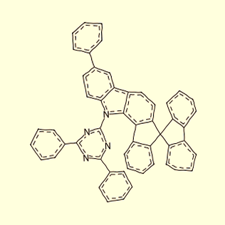 c1ccc(-c2ccc3c(c2)c2ccc4c(c2n3-c2nc(-c3ccccc3)nc(-c3ccccc3)n2)-c2ccccc2C42c3ccccc3-c3ccccc32)cc1